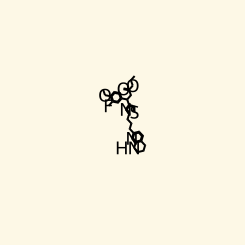 CCOC(=O)CC(c1ccc(OC)c(F)c1)c1csc(CCCc2ccc3c(n2)NCCC3)n1